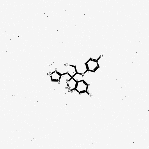 CCC(Oc1ccc(Cl)cc1)C(Cc1nc[nH]n1)(OC)c1ccc(Cl)cc1Cl